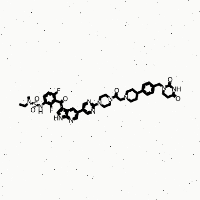 CCN(C)S(=O)(=O)Nc1ccc(F)c(C(=O)c2c[nH]c3ncc(-c4cnc(N5CCN(C(=O)CN6CCC(c7ccc(CN8CCC(=O)NC8=O)cc7)CC6)CC5)nc4)cc23)c1F